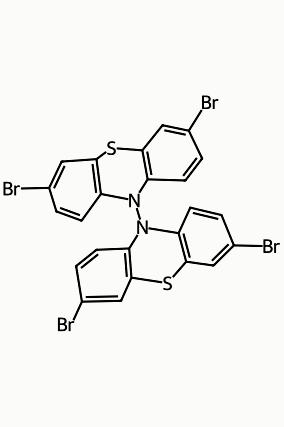 Brc1ccc2c(c1)Sc1cc(Br)ccc1N2N1c2ccc(Br)cc2Sc2cc(Br)ccc21